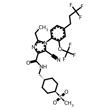 CCc1nc(C(=O)NC[C@H]2CC[C@H](S(C)(=O)=O)CC2)c(C#N)n1-c1ccc(CCC(F)(F)F)cc1OC(F)(F)F